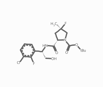 CC(C)(C)OC(=O)N1C[C@](C)(F)C[C@H]1C(=O)N[C@H](CO)c1cccc(Cl)c1F